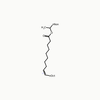 CCCCCCCC/C=C\CCCCCCCC(=O)OC(C)CCCCCCCCC